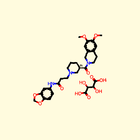 COc1cc2c(cc1OC)CN(C(=O)[C@@H]1CCCN(CCC(=O)Nc3ccc4c(c3)OCO4)C1)CC2.O=C(O)C(O)C(O)C(=O)O